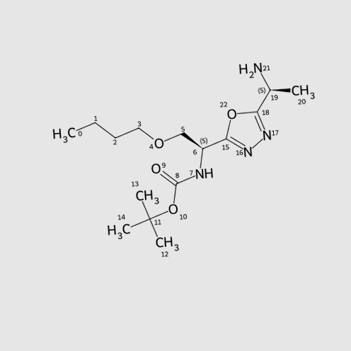 CCCCOC[C@H](NC(=O)OC(C)(C)C)c1nnc([C@H](C)N)o1